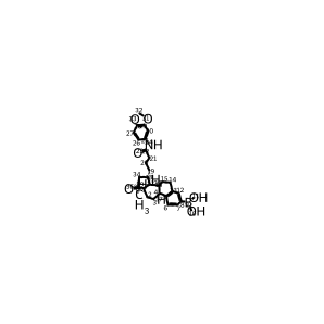 C[C@]12CC[C@@H]3c4ccc(B(O)O)cc4CC[C@H]3[C@@H]1[C@@H](CCCC(=O)Nc1ccc3c(c1)OCO3)CC2=O